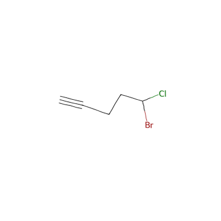 C#CCCC(Cl)Br